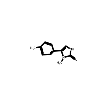 Cc1ccc(-c2c[nH]c(=S)n2C)cc1